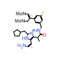 CN/C=C(\CNC)c1cc(F)cc(CNC(=O)C(C)C2=C(/C=C\N)NC(CC3CCCC3)N2C)c1